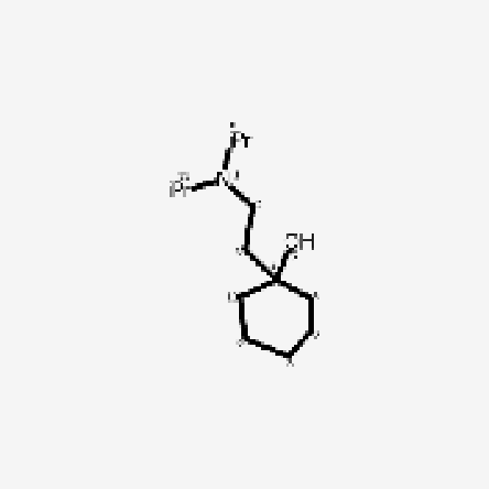 CC(C)N(CCC1(O)CCCCC1)C(C)C